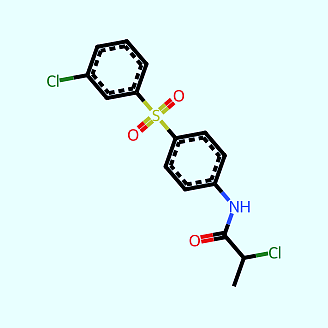 CC(Cl)C(=O)Nc1ccc(S(=O)(=O)c2cccc(Cl)c2)cc1